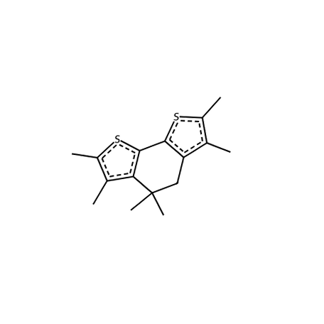 Cc1sc2c(c1C)CC(C)(C)c1c-2sc(C)c1C